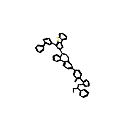 CCC(Cc1ccccc1-c1ccc(-c2ccc3c(c2)CCC(c2cc(-c4cccc(-c5ccccc5)c4)c4sc5ccccc5c4c2)c2ccccc2-3)cc1C)c1ccccc1